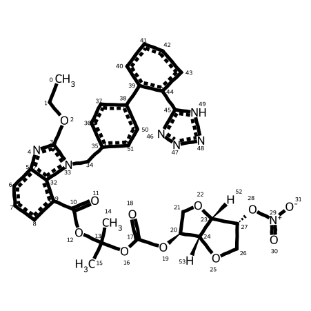 CCOc1nc2cccc(C(=O)OC(C)(C)OC(=O)O[C@H]3CO[C@H]4[C@@H]3OC[C@H]4O[N+](=O)[O-])c2n1Cc1ccc(-c2ccccc2-c2nnn[nH]2)cc1